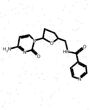 Nc1ccn(C2CCC(CNC(=O)c3ccncc3)O2)c(=O)n1